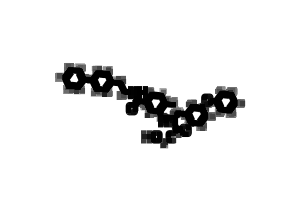 O=C(O)C(=O)N[C@H](Cc1ccc(C(=O)NCCc2ccc(-c3ccccc3)cc2)cc1Br)c1cccc(Oc2ccccc2)c1